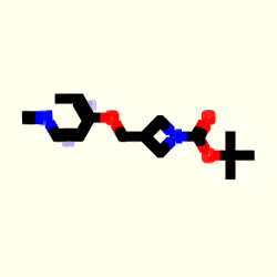 C=N/C=C\C(=C/C)OCC1CN(C(=O)OC(C)(C)C)C1